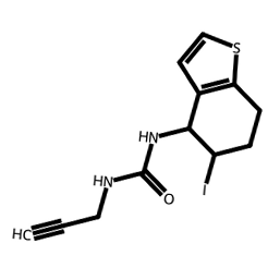 C#CCNC(=O)NC1c2ccsc2CCC1I